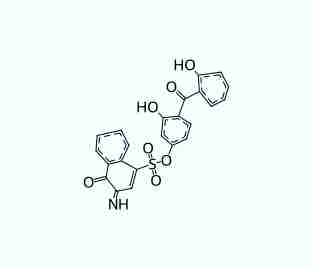 N=C1C=C(S(=O)(=O)Oc2ccc(C(=O)c3ccccc3O)c(O)c2)c2ccccc2C1=O